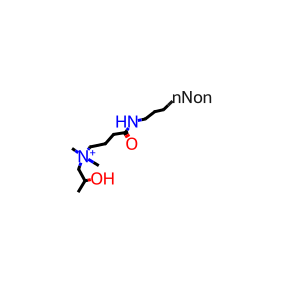 CCCCCCCCCCCCNC(=O)CCC[N+](C)(C)CC(C)O